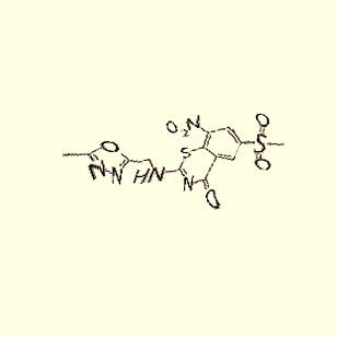 Cc1nnc(CNc2nc(=O)c3cc(S(C)(=O)=O)cc([N+](=O)[O-])c3s2)o1